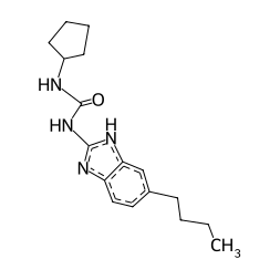 CCCCc1ccc2nc(NC(=O)NC3CCCC3)[nH]c2c1